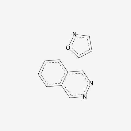 c1ccc2cnncc2c1.c1cnoc1